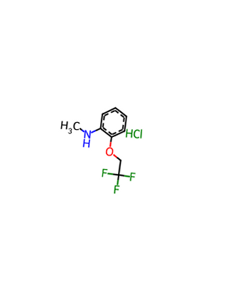 CNc1ccccc1OCC(F)(F)F.Cl